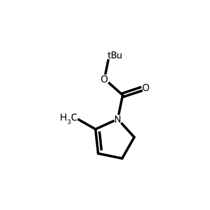 CC1=CCCN1C(=O)OC(C)(C)C